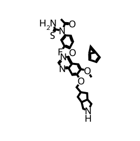 COc1cc2c(Oc3ccc(N(C(C)=O)C(N)=S)cc3F)ncnc2cc1OCC1CC2CNCC2C1.c1cc2cc-2c1